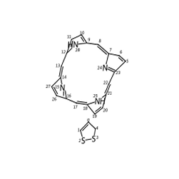 C1=CSSC1.C1=Cc2cc3ccc(cc4nc(cc5ccc(cc1n2)[nH]5)C=C4)[nH]3